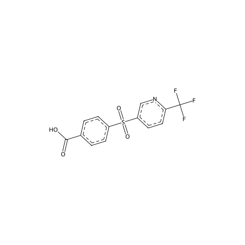 O=C(O)c1ccc(S(=O)(=O)c2ccc(C(F)(F)F)nc2)cc1